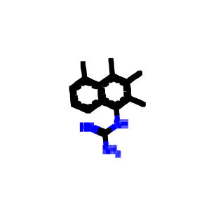 Cc1c(C)c(C)c2c(C)cccc2c1NC(=N)N